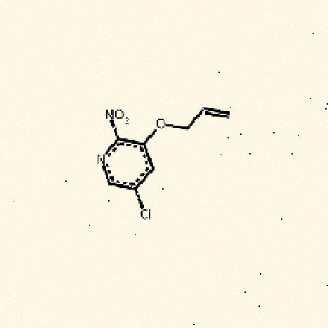 C=CCOc1cc(Cl)cnc1[N+](=O)[O-]